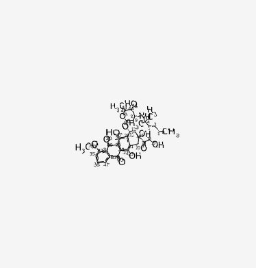 CCCCC(C)(C)N[C@H]1C[C@H](O[C@H]2C[C@](O)(C(=O)CO)Cc3c(O)c4c(c(O)c32)C(=O)c2c(OC)cccc2C4=O)O[C@@H](C)[C@H]1O